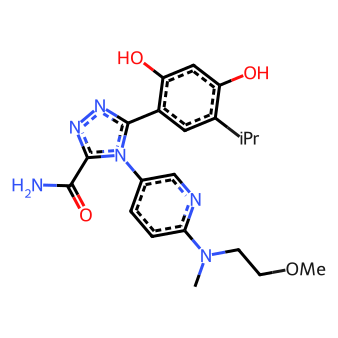 COCCN(C)c1ccc(-n2c(C(N)=O)nnc2-c2cc(C(C)C)c(O)cc2O)cn1